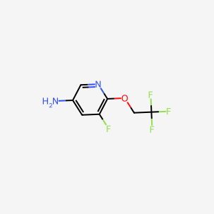 Nc1cnc(OCC(F)(F)F)c(F)c1